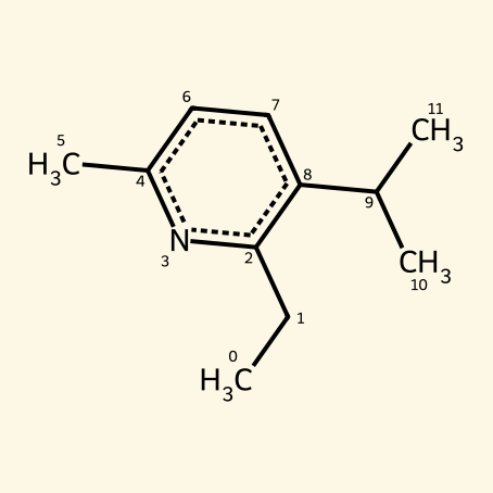 CCc1nc(C)ccc1C(C)C